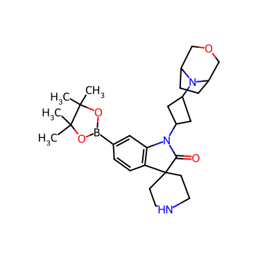 CC1(C)OB(c2ccc3c(c2)N(C2CC(N4C5CCC4COC5)C2)C(=O)C32CCNCC2)OC1(C)C